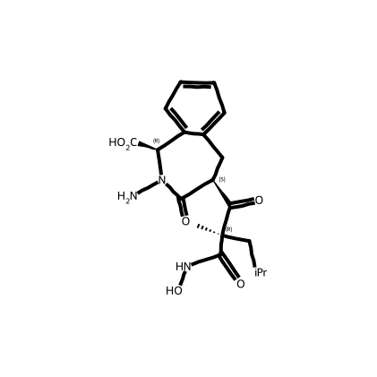 CC(C)C[C@@](C)(C(=O)NO)C(=O)[C@@H]1Cc2ccccc2[C@H](C(=O)O)N(N)C1=O